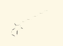 O=C1c2ccccc2C(=O)N1OCCOCCOCCO